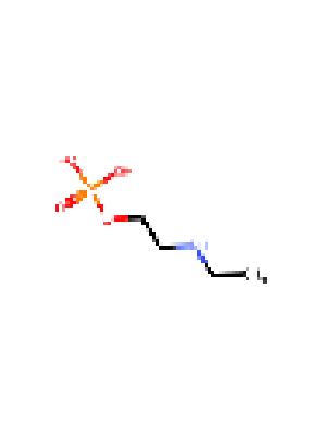 CCNCCOP(=O)(O)O